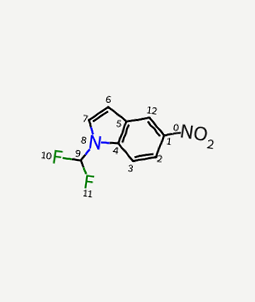 O=[N+]([O-])c1ccc2c(ccn2C(F)F)c1